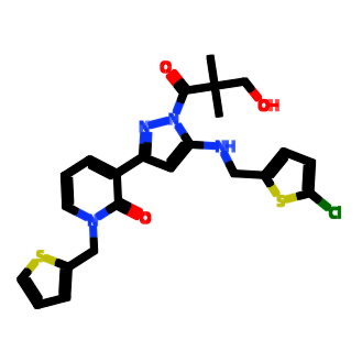 CC(C)(CO)C(=O)n1nc(-c2cccn(Cc3cccs3)c2=O)cc1NCc1ccc(Cl)s1